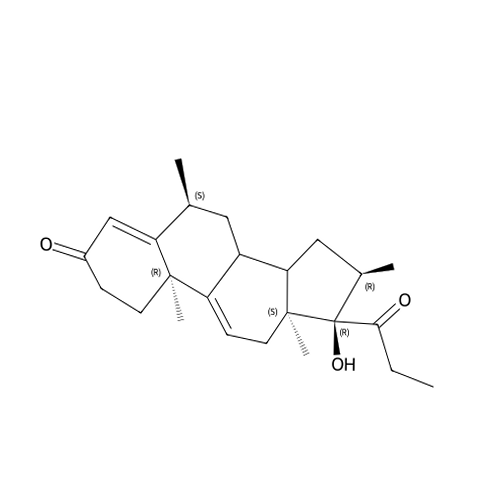 CCC(=O)[C@@]1(O)[C@H](C)CC2C3C[C@H](C)C4=CC(=O)CC[C@]4(C)C3=CC[C@@]21C